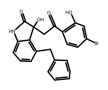 O=C(CC1(O)C(=O)Nc2cccc(Cc3ccccc3)c21)c1ccc(Br)cc1O